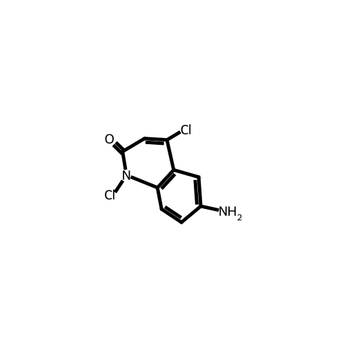 Nc1ccc2c(c1)c(Cl)cc(=O)n2Cl